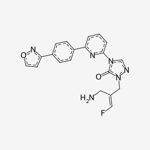 NC/C(=C\F)Cn1ncn(-c2cccc(-c3ccc(-c4ccon4)cc3)n2)c1=O